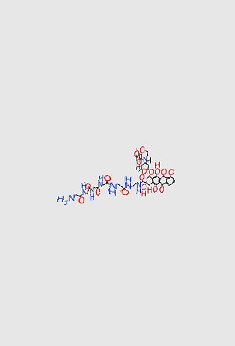 COc1cccc2c1C(=O)c1c(O)c3c(c(O)c1C2=O)C[C@@](O)(C(=O)NCCNC(=O)CNC(=O)CNC(=O)CNC(=O)CNC(=O)CN)C[C@@H]3OC1C[C@H]2[C@H](O[C@@H]3[C@@H](OC)OCCN32)[C@H](C)O1